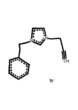 C#CCn1cc[n+](Cc2ccccc2)c1.[Br-]